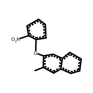 Cc1cc2ccccc2cc1Oc1ccccc1[N+](=O)[O-]